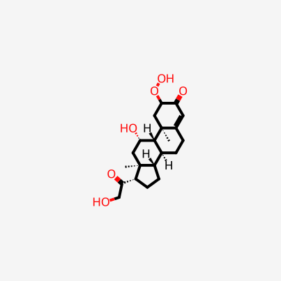 C[C@]12C[C@H](O)[C@H]3[C@@H](CCC4=CC(=O)C(OO)C[C@@]43C)[C@@H]1CC[C@@H]2C(=O)CO